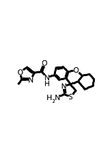 Cc1nc(C(=O)Nc2ccc3c(c2)C2(CSC(N)=N2)C2CCCCC2O3)co1